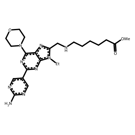 CCn1c(CNCCCCCC(=O)OC)nc2c(N3CCOCC3)nc(-c3cnc(N)nc3)nc21